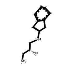 NC[C@@H](O)CNC1Cc2ccccc2C1